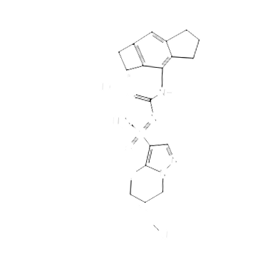 CO[C@@H]1COc2c([S@](N)(=O)=NC(=O)Nc3c4c(cc5c3[C@H](C)C5)CCC4)cnn2C1